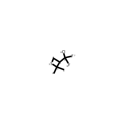 CC1(C)SCC1C(F)(F)Cl